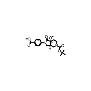 COC(=O)c1ccc(N2C[C@@H]3CN(C(=O)OC(C)(C)C)CC[C@]3(OC)C2=O)cc1